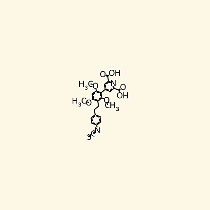 COc1cc(OC)c(-c2cc(C(=O)O)nc(C(=O)O)c2)c(OC)c1CCc1ccc(N=C=S)cc1